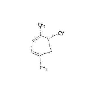 CC1=CC=C(C(F)(F)F)C(C#N)C1